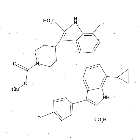 Cc1cccc2c(C3CCN(C(=O)OC(C)(C)C)CC3)c(C(=O)O)[nH]c12.O=C(O)c1[nH]c2c(C3CC3)cccc2c1-c1ccc(F)cc1